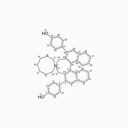 Oc1ccc(-c2cc3ccccc3c3c2C[N+]2(CCCCCCC2)Cc2c(-c4ccc(O)cc4)cc4ccccc4c2-3)cc1